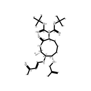 C=C(C)CO[C@H]1CCC[C@H](N(C(=O)OC(C)(C)C)C(=O)OC(C)(C)C)C(=O)O[C@@H](C)[C@@H]1OC=CC(C)=O